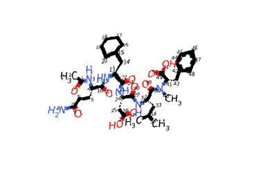 CC(=O)N[C@@H](CCC(N)=O)C(=O)N[C@@H](CC1CCCCC1)C(=O)N[C@@H](CC(=O)O)C(=O)N[C@@H](CC(C)C)C(=O)N(C)[C@@H](Cc1ccccc1)C(=O)O